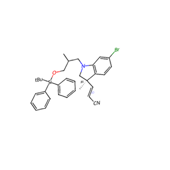 CC(CO[Si](c1ccccc1)(c1ccccc1)C(C)(C)C)CN1C[C@](C)(/C=C/C#N)c2ccc(Br)cc21